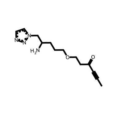 CC#CC(=O)CCOCCCC(N)Cn1ccnn1